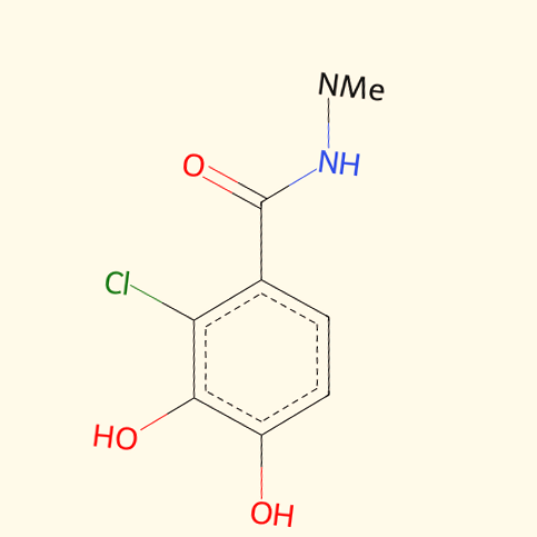 CNNC(=O)c1ccc(O)c(O)c1Cl